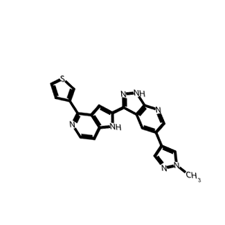 Cn1cc(-c2cnc3[nH]nc(-c4cc5c(-c6ccsc6)nccc5[nH]4)c3c2)cn1